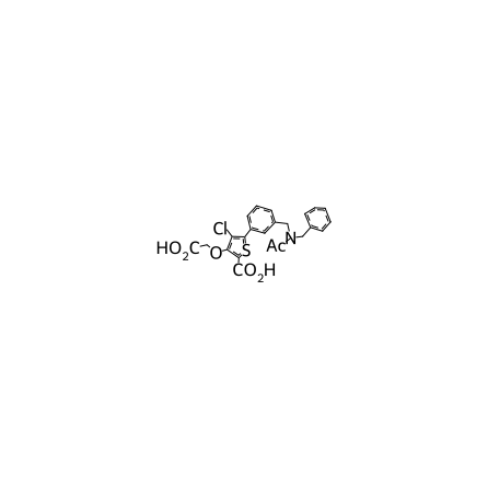 CC(=O)N(Cc1ccccc1)Cc1cccc(-c2sc(C(=O)O)c(OCC(=O)O)c2Cl)c1